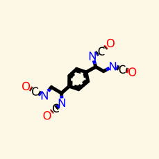 O=C=NCC(N=C=O)c1ccc(C(CN=C=O)N=C=O)cc1